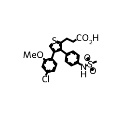 COc1cc(Cl)ccc1-c1csc(CCC(=O)O)c1-c1ccc(NS(C)(=O)=O)cc1